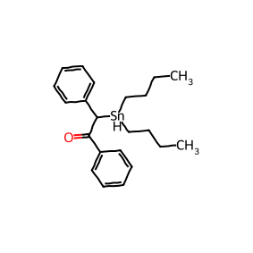 CCC[CH2][SnH]([CH2]CCC)[CH](C(=O)c1ccccc1)c1ccccc1